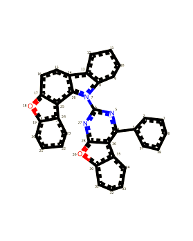 c1ccc(-c2nc(-n3c4ccccc4c4ccc5oc6ccccc6c5c43)nc3oc4ccccc4c23)cc1